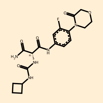 NC(=O)[C@@H](NC(=O)NC1CCC1)C(=O)Nc1ccc(N2CCOCC2=O)c(F)c1